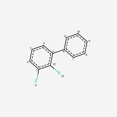 Fc1cc[c]c(-c2ccccc2)c1F